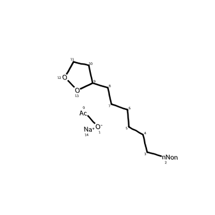 CC(=O)[O-].CCCCCCCCCCCCCCCC1CCOO1.[Na+]